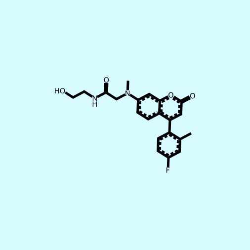 Cc1cc(F)ccc1-c1cc(=O)oc2cc(N(C)CC(=O)NCCO)ccc12